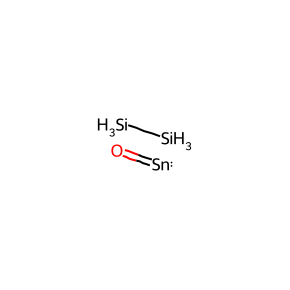 [O]=[Sn].[SiH3][SiH3]